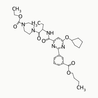 CCCCOC(=O)c1cccc(-c2nc(OC3CCCC3)cc(C(=O)NC(CC)C(=O)N3CCN(C(=O)OCC)CC3)n2)c1